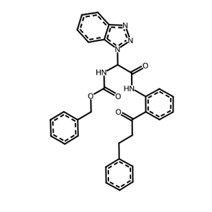 O=C(NC(C(=O)Nc1ccccc1C(=O)CCc1ccccc1)n1nnc2ccccc21)OCc1ccccc1